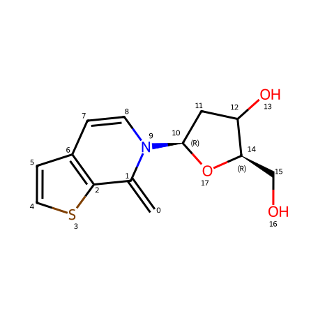 C=C1c2sccc2C=CN1[C@H]1CC(O)[C@@H](CO)O1